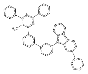 Cc1c(-c2ccccc2)nc(-c2ccccc2)nc1-c1cccc(-c2cccc(-n3c4ccccc4c4ccc(-c5ccccc5)cc43)c2)c1